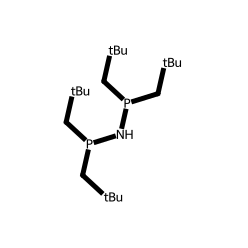 CC(C)(C)CP(CC(C)(C)C)NP(CC(C)(C)C)CC(C)(C)C